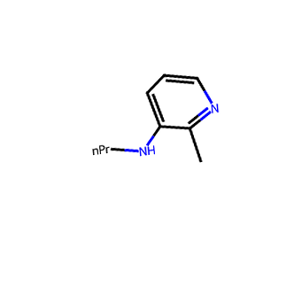 CCCNc1cccnc1C